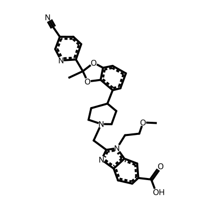 COCCn1c(CN2CCC(c3cccc4c3OC(C)(c3ccc(C#N)cn3)O4)CC2)nc2ccc(C(=O)O)cc21